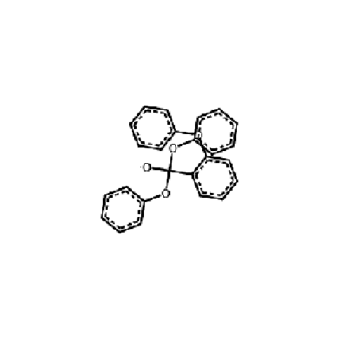 [O]C(Oc1ccccc1)(Oc1ccccc1)c1ccccc1Oc1ccccc1